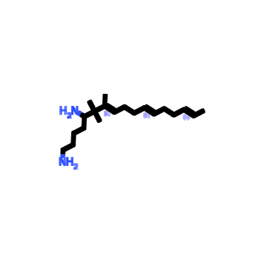 C/C=C/CC/C=C/CC/C=C(\C)C(C)(C)C(N)CCCCN